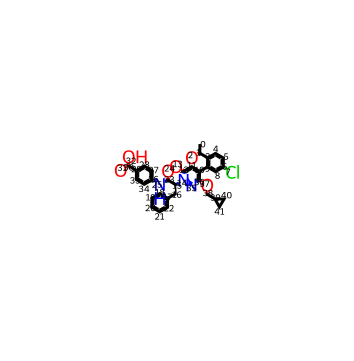 CC(=O)c1ccc(Cl)cc1-c1cc(=O)n([C@@H](Cc2ccccc2)C(=O)Nc2ccc(C(=O)O)cc2)nc1OCC1CC1